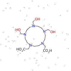 O=C(O)CN1CCN(CO)CCN(CO)CCN(CO)CCN(CC(=O)O)CC1